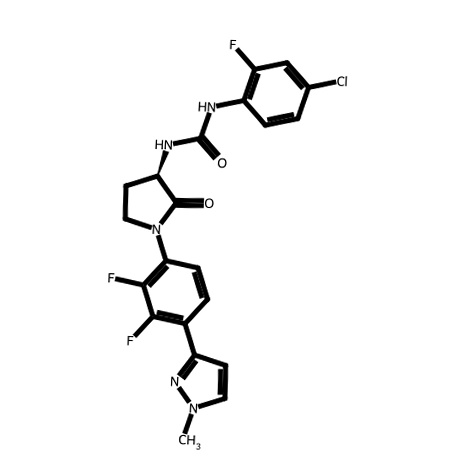 Cn1ccc(-c2ccc(N3CC[C@@H](NC(=O)Nc4ccc(Cl)cc4F)C3=O)c(F)c2F)n1